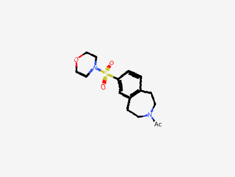 CC(=O)N1CCc2ccc(S(=O)(=O)N3CCOCC3)cc2CC1